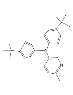 Cc1ccc(N(c2ccc(C(C)(C)C)cc2)c2ccc(C(C)(C)C)cc2)cn1